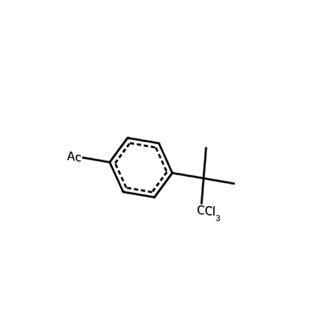 CC(=O)c1ccc(C(C)(C)C(Cl)(Cl)Cl)cc1